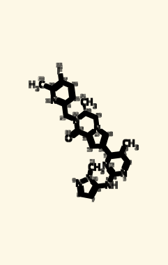 Cc1cnc(Nc2ccnn2C)nc1-c1cc2n(c1)C[C@@H](C)N(Cc1ccc(F)c(C)n1)C2=O